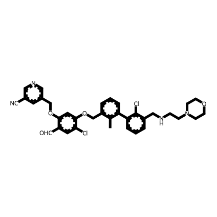 Cc1c(COc2cc(OCc3cncc(C#N)c3)c(C=O)cc2Cl)cccc1-c1cccc(CNCCN2CCOCC2)c1Cl